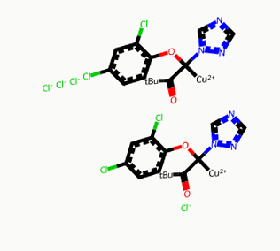 CC(C)(C)C(=O)[C]([Cu+2])(Oc1ccc(Cl)cc1Cl)n1cncn1.CC(C)(C)C(=O)[C]([Cu+2])(Oc1ccc(Cl)cc1Cl)n1cncn1.[Cl-].[Cl-].[Cl-].[Cl-]